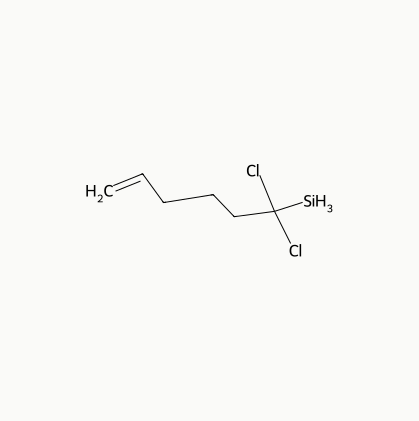 C=CCCCC([SiH3])(Cl)Cl